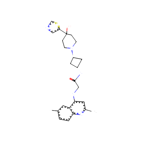 N#Cc1cc(NCC(=O)N[C@H]2C[C@H](N3CCC(O)(c4cncs4)CC3)C2)c2cc(C(F)(F)F)ccc2n1